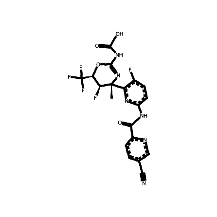 C[C@]1(c2nc(NC(=O)c3ccc(C#N)cn3)ccc2F)N=C(NC(=O)O)O[C@H](C(F)(F)F)[C@@H]1F